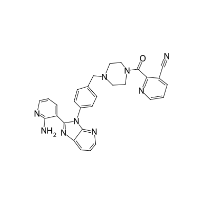 N#Cc1cccnc1C(=O)N1CCN(Cc2ccc(-n3c(-c4cccnc4N)nc4cccnc43)cc2)CC1